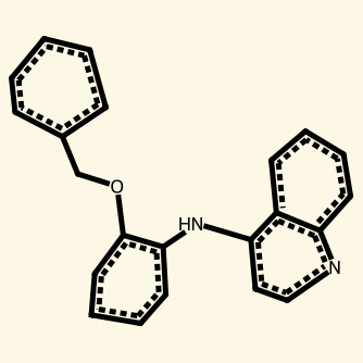 c1ccc(COc2ccccc2Nc2ccnc3ccccc23)cc1